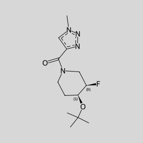 Cn1cc(C(=O)N2CC[C@H](OC(C)(C)C)[C@H](F)C2)nn1